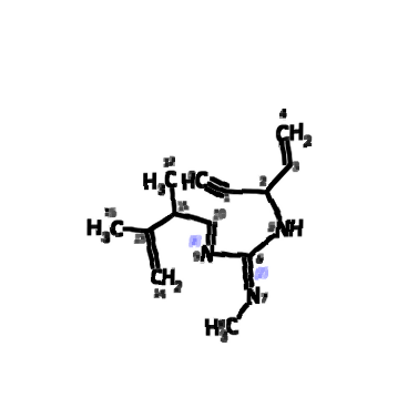 C#CC(C=C)NC(=N/C)/N=C/C(C)C(=C)C